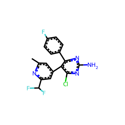 Cc1cc(-c2c(Cl)nc(N)nc2-c2ccc(F)cc2)cc(C(F)F)n1